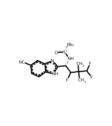 CC(C)(C(F)F)C(F)[C@@H](N[S@+]([O-])C(C)(C)C)c1nc2cc(C#N)ccc2[nH]1